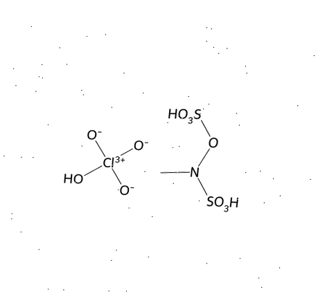 CN(OS(=O)(=O)O)S(=O)(=O)O.[O-][Cl+3]([O-])([O-])O